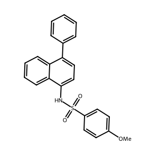 COc1ccc(S(=O)(=O)Nc2ccc(-c3ccccc3)c3ccccc23)cc1